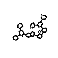 c1ccc(-c2nc(-c3ccccc3)nc(-c3ccc4cc(-c5cccc6c5oc5c(-c7cc(-c8cccnc8)cc(-c8cccnc8)c7)cccc56)ccc4c3)n2)cc1